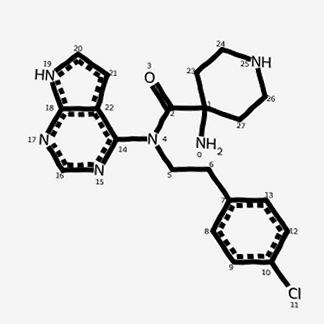 NC1(C(=O)N(CCc2ccc(Cl)cc2)c2ncnc3[nH]ccc23)CCNCC1